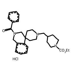 CCOC(=O)N1CCC(CN2CCC3(CC2)CN(C(=O)c2ccccc2)Cc2ccccc23)CC1.Cl